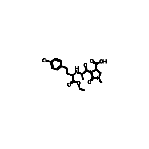 CCOC(=O)C(CCc1ccc(Cl)cc1)NC(C)C(=O)N1C(=O)N(C)CC1C(=O)O